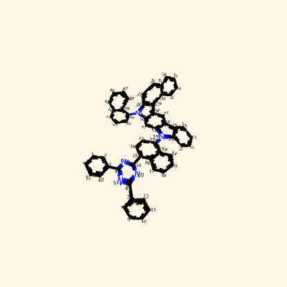 c1ccc(-c2nc(-c3ccccc3)nc(-c3ccc(-n4c5ccccc5c5cc6c7c8ccccc8ccc7n(-c7cccc8ccccc78)c6cc54)c4ccccc34)n2)cc1